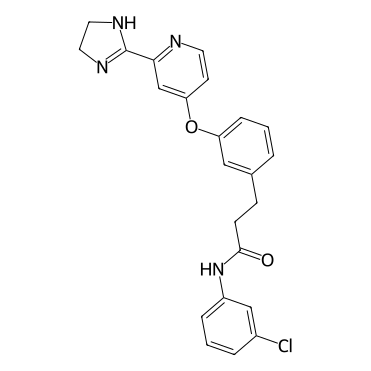 O=C(CCc1cccc(Oc2ccnc(C3=NCCN3)c2)c1)Nc1cccc(Cl)c1